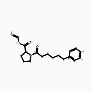 O=COC(=O)C1CCCN1C(=O)CCCCCc1ccccc1